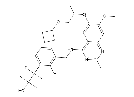 COc1cc2nc(C)nc(NCc3cccc(C(F)(F)C(C)(C)O)c3F)c2cc1OC(C)COC1CCC1